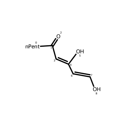 CCCCCC(=O)C=C(O)C=CO